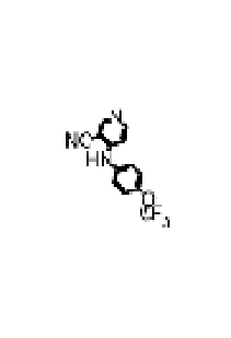 N#Cc1cnccc1Nc1ccc(OC(F)(F)F)cc1